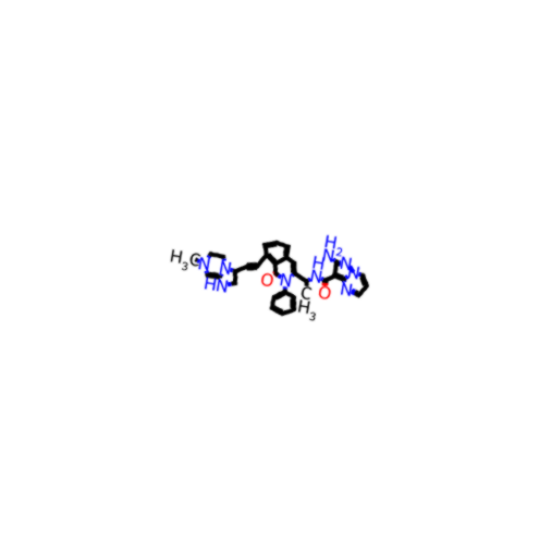 CC(NC(=O)c1c(N)nn2cccnc12)c1cc2cccc(C#CC3CNC4=CN(C)CCN43)c2c(=O)n1-c1ccccc1